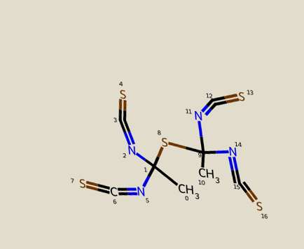 CC(N=C=S)(N=C=S)SC(C)(N=C=S)N=C=S